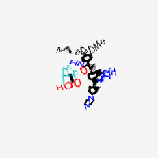 COc1cc2c(cc1OC)[C@]1(C[C@H]1c1ccc3c(-c4ccc(N5CCN(C)CC5)cc4)n[nH]c3c1)C(=O)N2.O=C(O)C(F)(F)F